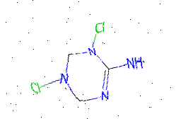 [NH]C1=NCN(Cl)CN1Cl